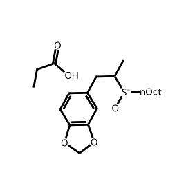 CCC(=O)O.CCCCCCCC[S+]([O-])C(C)Cc1ccc2c(c1)OCO2